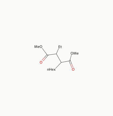 CCCCCCC(C(=O)OC)C(CC)C(=O)OC